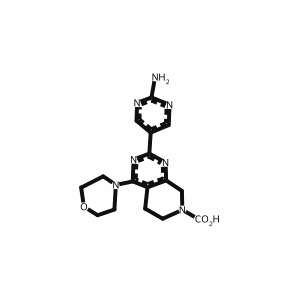 Nc1ncc(-c2nc3c(c(N4CCOCC4)n2)CCN(C(=O)O)C3)cn1